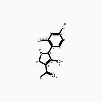 CC(=O)C1=C(O)C(c2ccc(Cl)cc2Cl)SC1